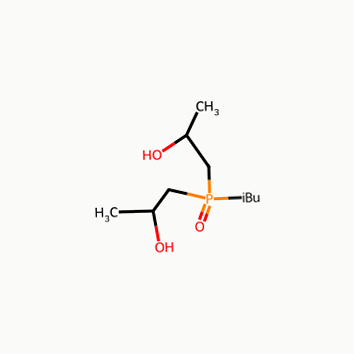 CCC(C)P(=O)(CC(C)O)CC(C)O